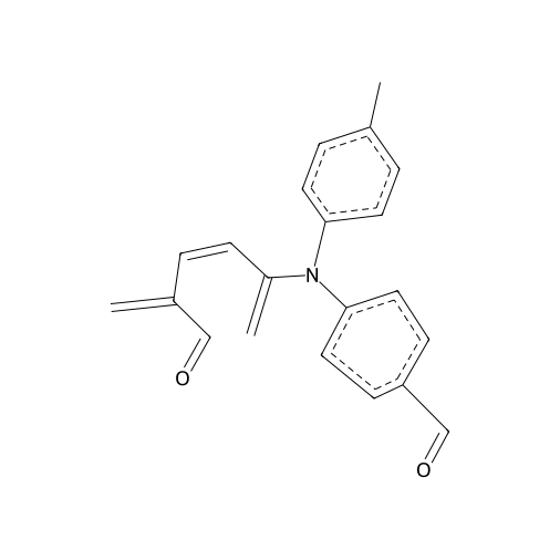 C=C(C=O)/C=C\C(=C)N(c1ccc(C)cc1)c1ccc(C=O)cc1